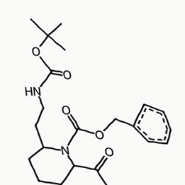 COC(=O)C1CCCC(CCNC(=O)OC(C)(C)C)N1C(=O)OCc1ccccc1